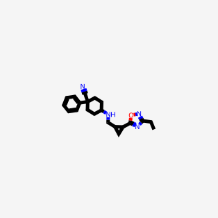 CCc1noc(C2CC2CNC2CCC(C#N)(c3ccccc3)CC2)n1